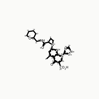 Cc1cc(N2CCC2C(=O)NCC2CCCCO2)nc2c1c(=O)c(C(=O)O)cn2-c1ncns1